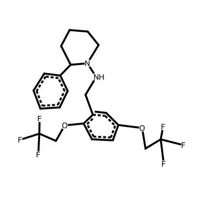 FC(F)(F)COc1ccc(OCC(F)(F)F)c(CNN2CCCCC2c2ccccc2)c1